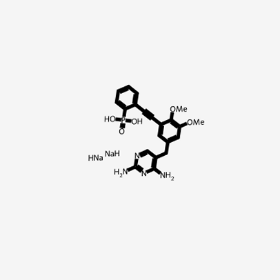 COc1cc(Cc2cnc(N)nc2N)cc(C#Cc2ccccc2P(=O)(O)O)c1OC.[NaH].[NaH]